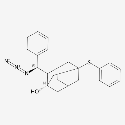 [N-]=[N+]=N[C@@H](c1ccccc1)C1C2CC3CC(Sc4ccccc4)(C2)C[C@@]1(O)C3